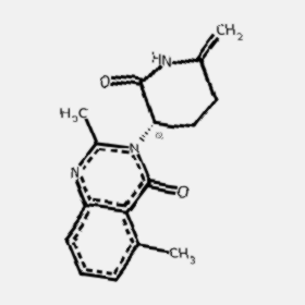 C=C1CC[C@H](n2c(C)nc3cccc(C)c3c2=O)C(=O)N1